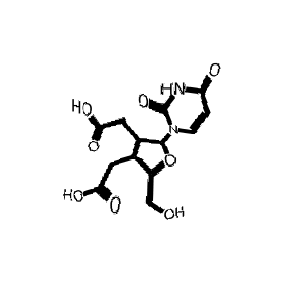 O=C(O)CC1C(CO)OC(n2ccc(=O)[nH]c2=O)C1CC(=O)O